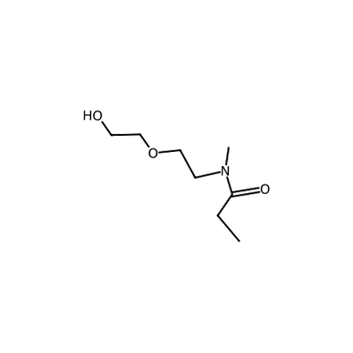 CCC(=O)N(C)CCOCCO